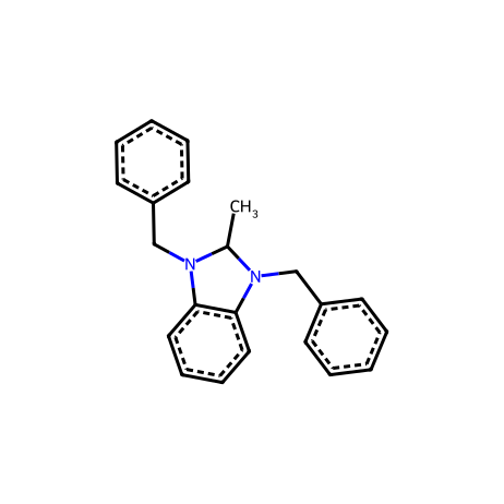 CC1N(Cc2ccccc2)c2ccccc2N1Cc1ccccc1